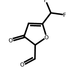 O=CC1OC(C(F)F)=CC1=O